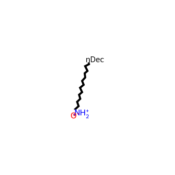 CCCCCCCCCCCCCCCCCCCCCCCC[NH2+][O-]